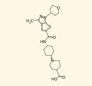 Cc1nn(C2CCOCC2)c2sc(C(=O)N[C@H]3CC[C@H](N4CCC(C(=O)O)CC4)CC3)cc12